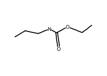 CCC[N]C(=O)OCC